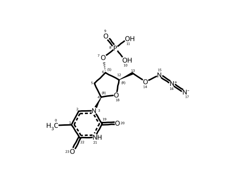 Cc1cn([C@H]2C[C@H](OP(=O)(O)O)[C@@H](CON=[N+]=[N-])O2)c(=O)[nH]c1=O